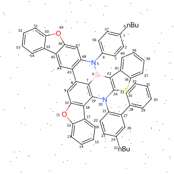 CCCCc1ccc(N2B3c4c(cc5oc6ccccc6c5c4N(c4ccc(CCCC)cc4-c4ccccc4)c4sc5ccccc5c43)-c3cc4c(cc32)oc2ccccc24)cc1